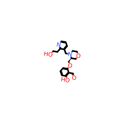 O=Cc1c(O)cccc1OC[C@@H]1COCCN1Cc1cccnc1CCO